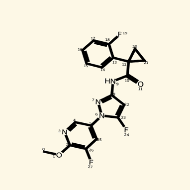 COc1ncc(-n2nc(NC(=O)C3(c4ccccc4F)CC3)cc2F)cc1F